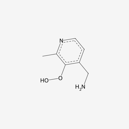 Cc1nccc(CN)c1OO